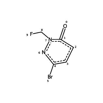 O=c1ccc(Br)nn1CF